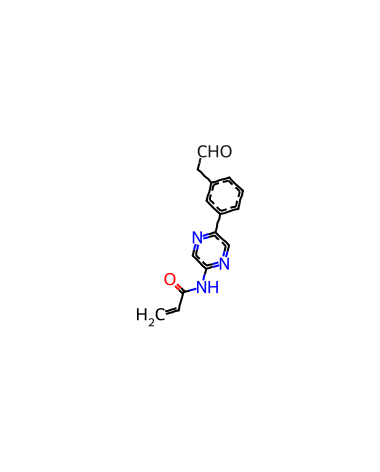 C=CC(=O)Nc1cnc(-c2cccc(CC=O)c2)cn1